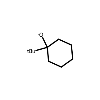 CC(C)(C)C1([O])CCCCC1